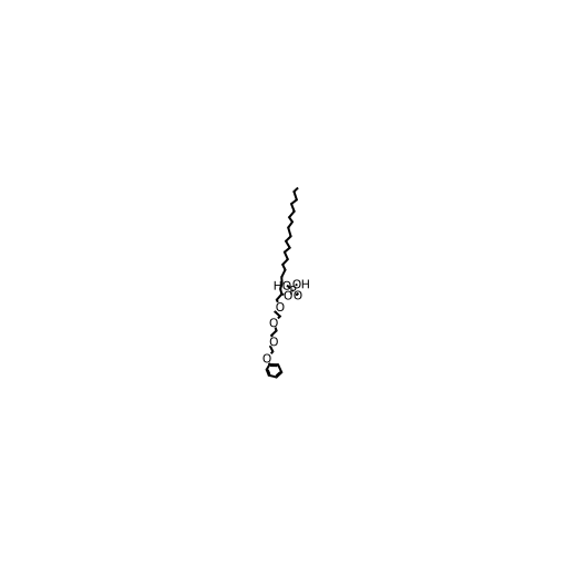 CCCCCCCCCCCCCCCCCCC(COCCOCCOCCOc1ccccc1)OP(=O)(O)O